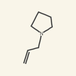 [CH]=CCN1CCCC1